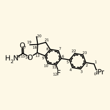 CC(C)Cc1ccc(-c2cc3c(cc2F)C(OC(N)=O)C(C)(C)C3)cc1